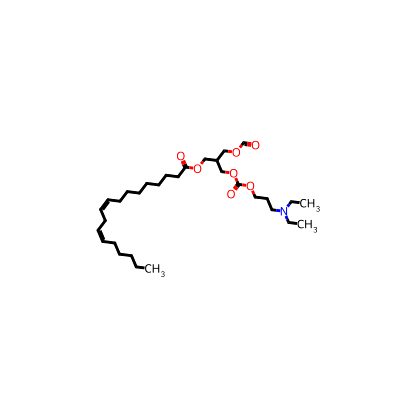 CCCCC/C=C\C/C=C\CCCCCCCC(=O)OCC(COC=O)COC(=O)OCCCN(CC)CC